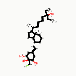 CCC(O)(/C=C/C=C/[C@@H](C)C1CCC2[C@@H](CC=C3C[C@@H](O)C(O)(CF)[C@H](O)C3)CCCC21C)CC